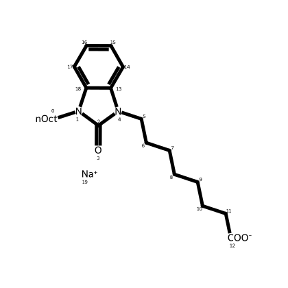 CCCCCCCCn1c(=O)n(CCCCCCCC(=O)[O-])c2ccccc21.[Na+]